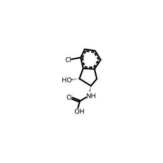 O=C(O)N[C@H]1Cc2cccc(Cl)c2[C@H]1O